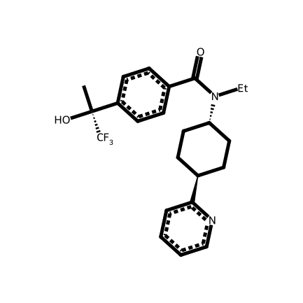 CCN(C(=O)c1ccc([C@](C)(O)C(F)(F)F)cc1)[C@H]1CC[C@H](c2ccccn2)CC1